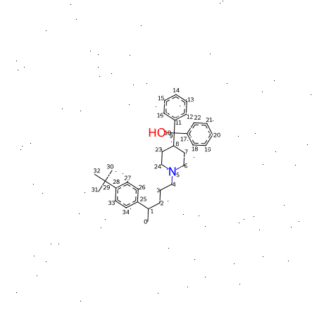 CC(CCCN1CCC(C(O)(c2ccccc2)c2ccccc2)CC1)c1ccc(C(C)(C)C)cc1